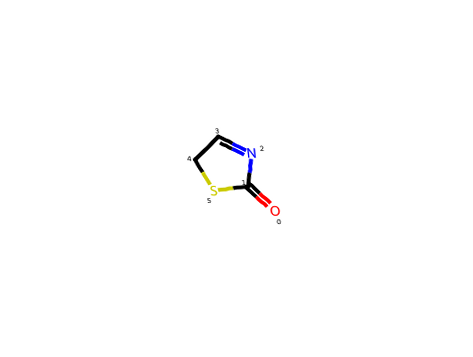 O=C1N=CCS1